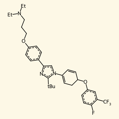 CCN(CC)CCCOc1ccc(-c2cn(C3=CCC(Oc4ccc(F)c(C(F)(F)F)c4)C=C3)c(C(C)(C)C)n2)cc1